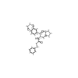 O=C(CSc1ccccc1)N[C@H](CN1CCCC1)[C@H](O)c1ccc2c(c1)OCCO2